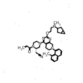 C=CC(=O)N1CCN(c2nc(OCCN(C)C3CC4CC4C3)nc3c2CCN(c2cccc4cccc(C)c24)C3)C[C@@H]1CC#N